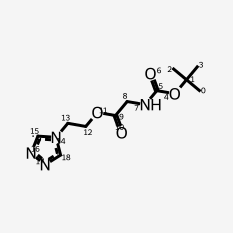 CC(C)(C)OC(=O)NCC(=O)OCCn1[c]nnc1